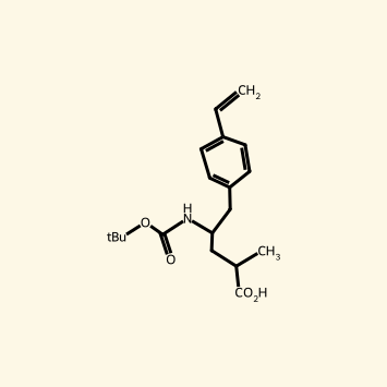 C=Cc1ccc(CC(CC(C)C(=O)O)NC(=O)OC(C)(C)C)cc1